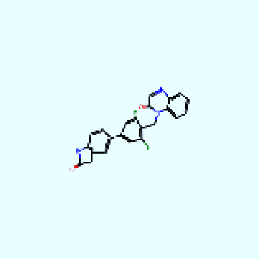 O=C1Cc2cc(-c3cc(F)c(Cn4c(=O)cnc5ccccc54)c(F)c3)ccc2N1